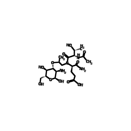 CC(=O)N[C@H](C(=O)N(CC(C)O[C@@H]1[C@@H](N)[C@@H](O)O[C@H](CO)[C@H]1O)[C@H](CCC(=O)O)C(N)=O)[C@@H](C)O